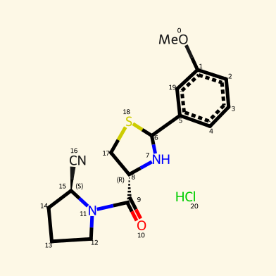 COc1cccc(C2N[C@H](C(=O)N3CCC[C@H]3C#N)CS2)c1.Cl